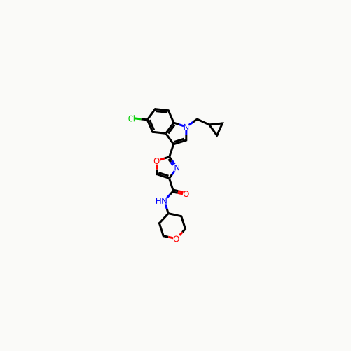 O=C(NC1CCOCC1)c1coc(-c2cn(CC3CC3)c3ccc(Cl)cc23)n1